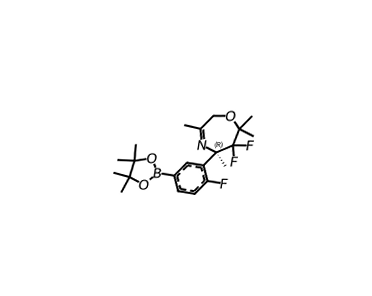 CC1=N[C@](C)(c2cc(B3OC(C)(C)C(C)(C)O3)ccc2F)C(F)(F)C(C)(C)OC1